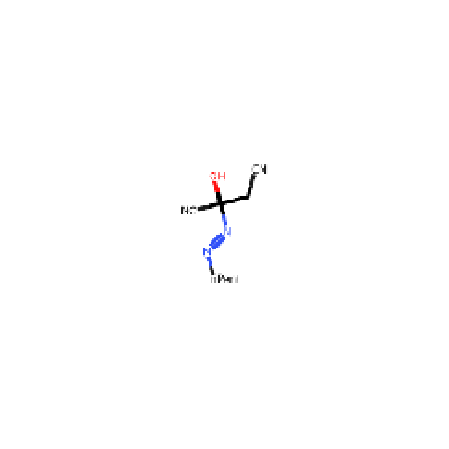 CCCCCN=NC(O)(C#N)CC#N